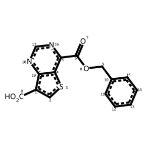 O=C(O)c1csc2c(C(=O)OCc3ccccc3)ncnc12